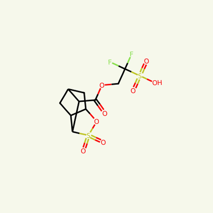 O=C(OCC(F)(F)S(=O)(=O)O)C1C2CC3OS(=O)(=O)C1C3C2